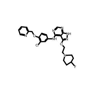 FC1CCN(CCOc2n[nH]c3ncnc(Nc4ccc(OCc5ccccn5)c(Cl)c4)c23)CC1